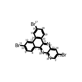 Brc1cnc2nc3c4ccc(Br)cc4c4cc(Br)ccc4c3nc2c1